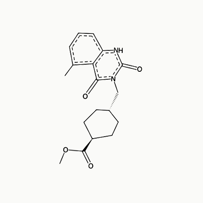 COC(=O)[C@H]1CC[C@H](Cn2c(=O)[nH]c3cccc(C)c3c2=O)CC1